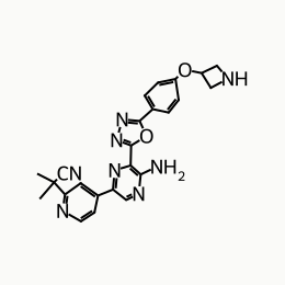 CC(C)(C#N)c1cc(-c2cnc(N)c(-c3nnc(-c4ccc(OC5CNC5)cc4)o3)n2)ccn1